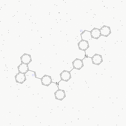 C(=C/c1ccc2ccccc2c1)/c1ccc(N(c2ccccc2)c2ccc(-c3ccc(N(c4ccccc4)c4ccc(/C=C/c5c6ccccc6cc6ccccc56)cc4)cc3)cc2)cc1